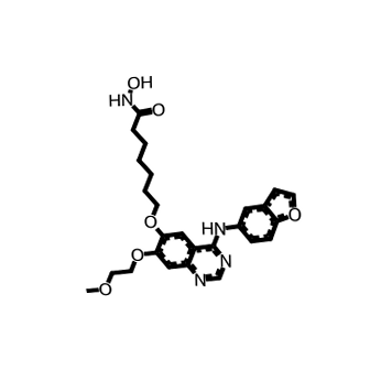 COCCOc1cc2ncnc(Nc3ccc4occc4c3)c2cc1OCCCCCCC(=O)NO